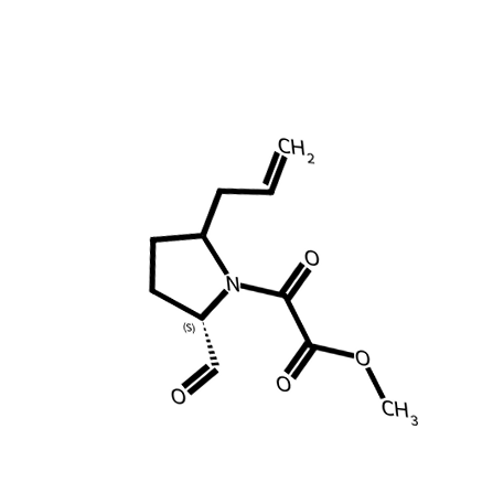 C=CCC1CC[C@@H](C=O)N1C(=O)C(=O)OC